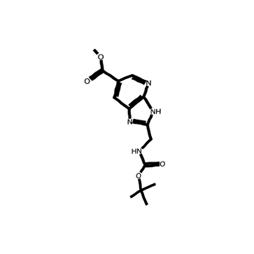 COC(=O)c1cnc2[nH]c(CNC(=O)OC(C)(C)C)nc2c1